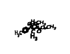 C=C=C(C(=O)OCC)C(C)N(c1ccc(C)cc1)[SH](=O)=O